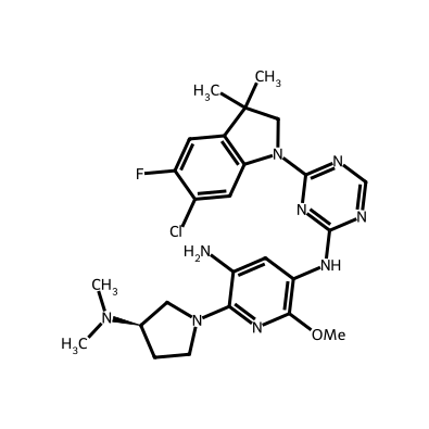 COc1nc(N2CC[C@@H](N(C)C)C2)c(N)cc1Nc1ncnc(N2CC(C)(C)c3cc(F)c(Cl)cc32)n1